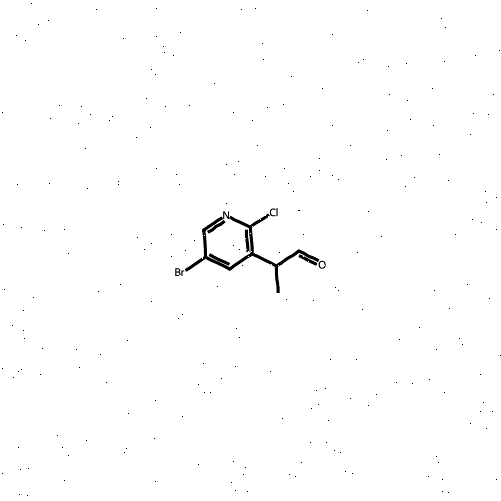 CC(C=O)c1cc(Br)cnc1Cl